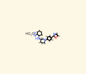 O=C(O)NC1CCCCC1NC1CCCN(c2ccc(-c3ncco3)cc2)C1